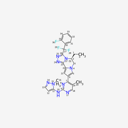 CC[C@H]1Cn2cc(-c3nc(Nc4ccnn4C)ncc3C)cc2-c2nnc(C(F)(F)c3ccccc3F)n21